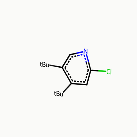 CC(C)(C)c1cnc(Cl)cc1C(C)(C)C